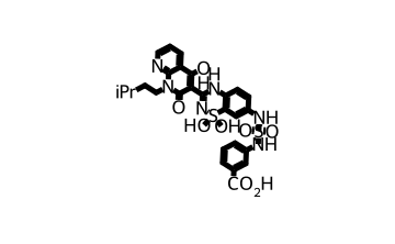 CC(C)CCn1c(=O)c(C2=NS(O)(O)c3cc(NS(=O)(=O)Nc4cccc(C(=O)O)c4)ccc3N2)c(O)c2cccnc21